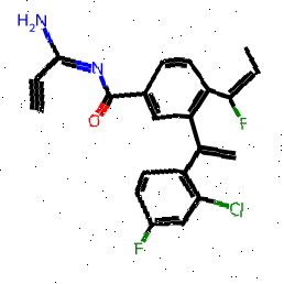 C#C/C(N)=N\C(=O)c1ccc(/C(F)=C\C)c(C(=C)c2ccc(F)cc2Cl)c1